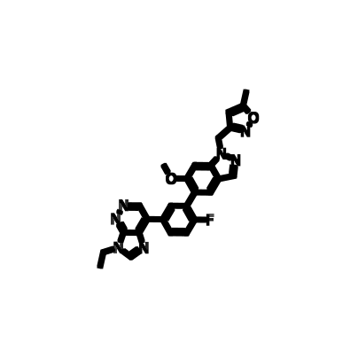 CCn1cnc2c(-c3ccc(F)c(-c4cc5cnn(Cc6cc(C)on6)c5cc4OC)c3)cnnc21